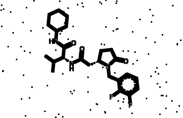 CC(C)[C@@H](NC(=O)C[C@@H]1CCC(=O)N1Cc1cccc(F)c1F)C(=O)NC1CCCCC1